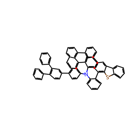 c1ccc(-c2ccc(-c3ccc(N(c4ccccc4-c4cccc5c4sc4ccccc45)c4ccccc4-c4cccc5cccc(-c6ccccc6)c45)cc3)cc2-c2ccccc2)cc1